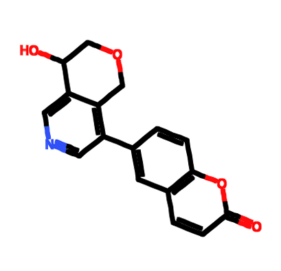 O=c1ccc2cc(-c3cncc4c3COCC4O)ccc2o1